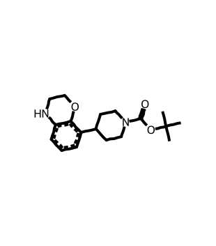 CC(C)(C)OC(=O)N1CCC(c2cccc3c2OCCN3)CC1